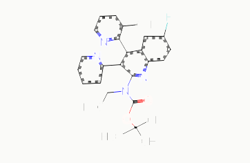 CCN(C(=O)OC(C)(C)C)c1nc2ccc(F)cc2c(-c2ncccc2C)c1-c1ccccn1